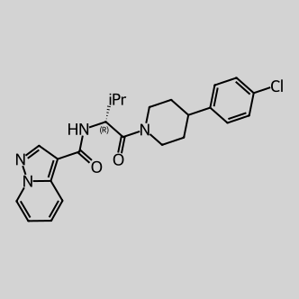 CC(C)[C@@H](NC(=O)c1cnn2ccccc12)C(=O)N1CCC(c2ccc(Cl)cc2)CC1